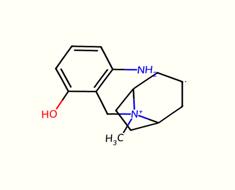 C[N+]1(Cc2c(N)cccc2O)C2C[CH]CC1CC2